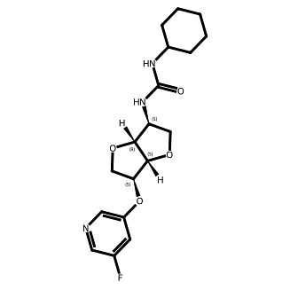 O=C(NC1CCCCC1)N[C@H]1CO[C@H]2[C@@H]1OC[C@@H]2Oc1cncc(F)c1